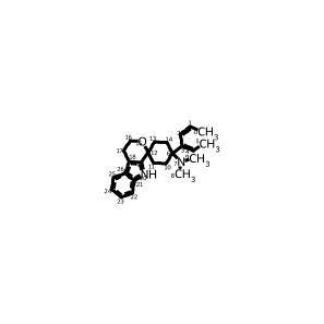 C/C=C\C(=C/C)C1(N(C)C)CCC2(CC1)OCCc1c2[nH]c2ccccc12